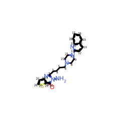 Nn1c(CCCCN2CCN(c3ccc4ccccc4n3)CC2)nc2ccsc2c1=O